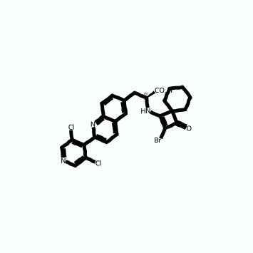 O=C(O)[C@H](Cc1ccc2nc(-c3c(Cl)cncc3Cl)ccc2c1)NC1=C(Br)C(=O)C12CCCCC2